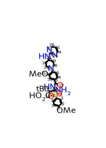 COc1ccc(S(=O)(=O)C(N)(NC(=O)c2ccc(N3CCC(Nc4ncccn4)CC3)c(OC)c2)C(C(=O)O)C(C)(C)C)cc1